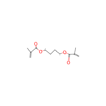 C=C(C)C(=O)O[CH]CC[CH]OC(=O)C(=C)C